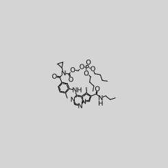 CCCCOP(=O)(OCCCC)OCOC(=O)N(C(=O)c1ccc(C)c(Nc2ncnn3cc(C(=O)NCCC)c(C)c23)c1)C1CC1